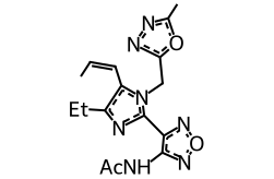 C/C=C\c1c(CC)nc(-c2nonc2NC(C)=O)n1Cc1nnc(C)o1